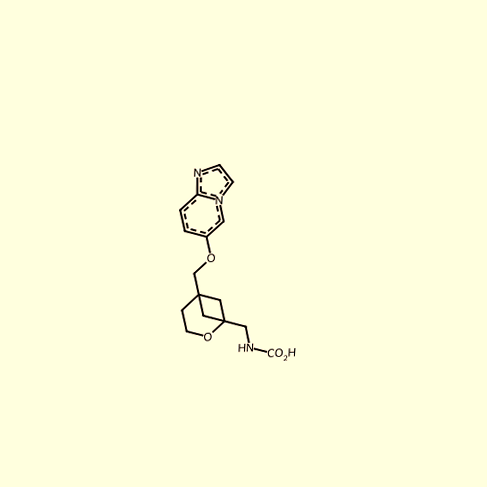 O=C(O)NCC12CC(COc3ccc4nccn4c3)(CCO1)C2